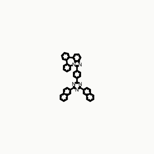 c1ccc2c(c1)-c1ccccc1-n1c(-c3ccc(-c4nc(-c5ccc6ccccc6c5)nc(-c5ccc6ccccc6c5)n4)cc3)nc3cccc-2c31